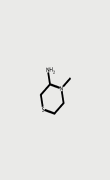 CN1CCSCC1N